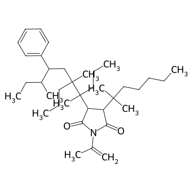 C=C(C)N1C(=O)C(C(C)(C)CCCCC)C(C(C)(CCC)C(C)(CCC)CC(c2ccccc2)C(C)CC)C1=O